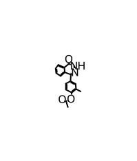 CC(=O)Oc1ccc(-c2n[nH]c(=O)c3ccccc23)cc1C